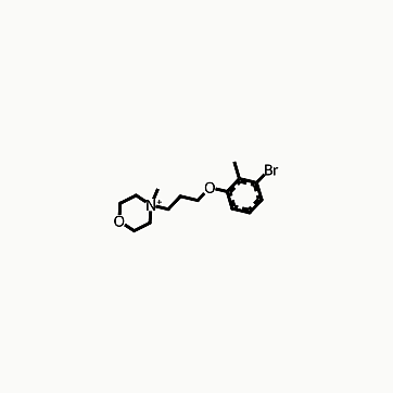 Cc1c(Br)cccc1OCCC[N+]1(C)CCOCC1